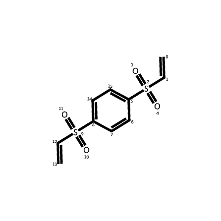 C=CS(=O)(=O)c1ccc(S(=O)(=O)C=C)cc1